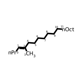 CCC/C=C(\C)CCCCCCCCCCCCCCC